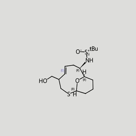 CC(C)(C)[S@@+]([O-])N[C@@H]1C/C=C/C(CO)CS[C@@H]2CCC[C@H]1O2